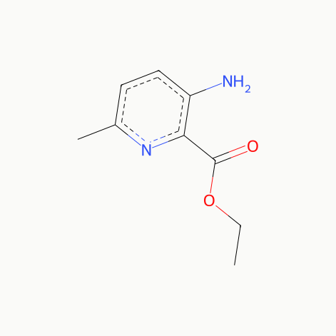 CCOC(=O)c1nc(C)ccc1N